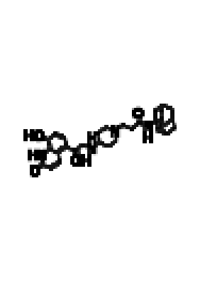 O=C(CCN1CCC(NC[C@@H](O)c2ccc(O)c3[nH]c(=O)ccc23)CC1)NC12CC3CC(CC(C3)C1)C2